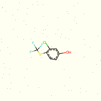 Oc1ccc(SC(F)(F)F)c(Cl)c1